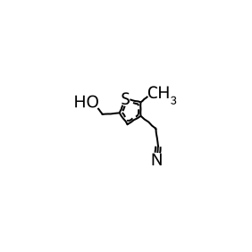 Cc1sc(CO)cc1CC#N